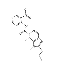 CCCc1nc2ccc(C(=O)Nc3ccccc3[N+](=O)[O-])c(C)c2n1C